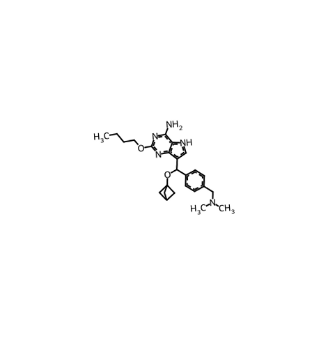 CCCCOc1nc(N)c2[nH]cc(C(OC34CC(C3)C4)c3ccc(CN(C)C)cc3)c2n1